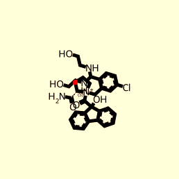 NC(=O)[C@@H]1CCC[N+]1(Cc1cc(Cl)ccc1C(NCCO)NCCO)C(=O)C1(O)c2ccccc2-c2ccccc21